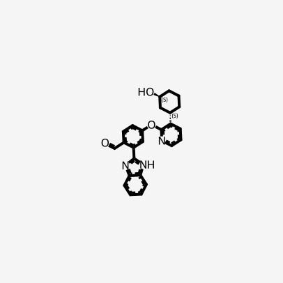 O=Cc1ccc(Oc2ncccc2[C@H]2CCC[C@H](O)C2)cc1-c1nc2ccccc2[nH]1